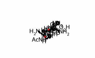 CC(=O)N[C@@H](Cc1ccc(O)cc1)C(=O)N[C@@H](CCCCN)C(=O)N1CCC[C@H]1C(=O)N[C@H](C(=O)N[C@H](C(=O)N(N[C@@H](Cc1ccccc1)C(N)=O)[C@@H](CCC(N)=O)C(=O)O)[C@@H](C)O)C(C)C